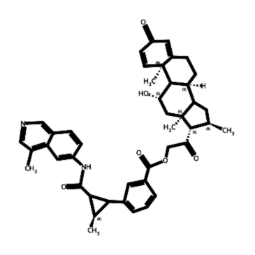 Cc1cncc2ccc(NC(=O)C3C(c4cccc(C(=O)OCC(=O)[C@H]5[C@H](C)CC6[C@@H]7CCC8=CC(=O)C=C[C@]8(C)C7[C@@H](O)C[C@@]65C)c4)[C@H]3C)cc12